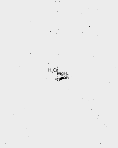 O=[Si].[CaH2].[MgH2]